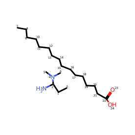 CCC(N)N(C)C.CCCCCCCCCCCCCCCC(=O)O